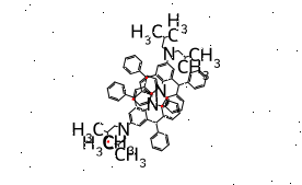 CC(C)CN(CC(C)C)c1cc(C(c2ccccc2)c2ccccc2)c(N2CCN(c3c(C(c4ccccc4)c4ccccc4)cc(N(CC(C)C)CC(C)C)cc3C(c3ccccc3)c3ccccc3)C2)c(C(c2ccccc2)c2ccccc2)c1